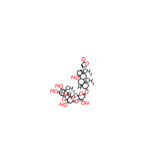 C[C@H]1O[C@@H](O[C@H]2[C@@H](O)C[C@H](O[C@H]3[C@@H](O)C[C@H](O[C@H]4CC[C@]5(C)C6CC[C@]7(C)[C@@H](C8=CC(=O)OC8)CC[C@]7(O)C6CC[C@@H]5C4)O[C@@H]3C)O[C@@H]2C)C[C@H](O)[C@@H]1O